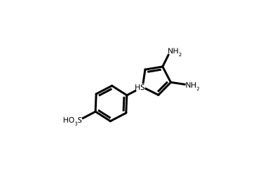 NC1=C[SH](c2ccc(S(=O)(=O)O)cc2)C=C1N